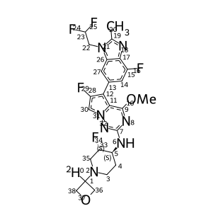 [2H]C1(N2CC[C@H](Nc3nc(OC)c4c(-c5cc(F)c6nc(C)n(CC(F)F)c6c5)c(F)cn4n3)[C@@H](F)C2)COC1